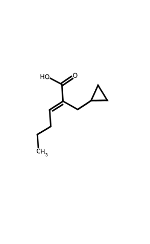 CCC/C=C(\CC1CC1)C(=O)O